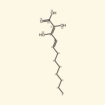 CCCCCCCC=CC(O)=C(O)C(=O)O